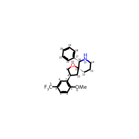 COc1ccc(C(F)(F)F)cc1[C@H]1CO[C@]2(CCCN[C@H]2c2ccccc2)C1